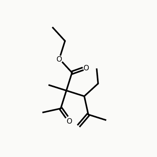 C=C(C)C(CC)C(C)(C(C)=O)C(=O)OCC